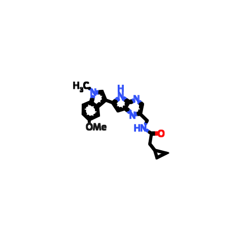 COc1ccc2c(c1)c(-c1cc3nc(CNC(=O)CC4CC4)cnc3[nH]1)cn2C